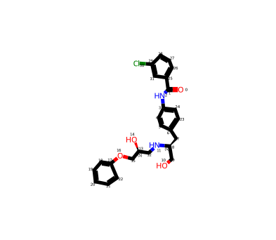 O=C(Nc1ccc(C[C@@H](CO)NC[C@H](O)COc2ccccc2)cc1)c1cccc(Cl)c1